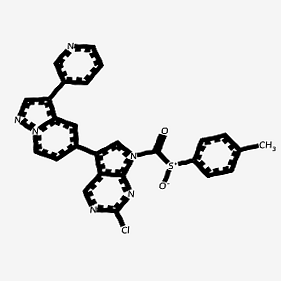 Cc1ccc([S+]([O-])C(=O)n2cc(-c3ccn4ncc(-c5cccnc5)c4c3)c3cnc(Cl)nc32)cc1